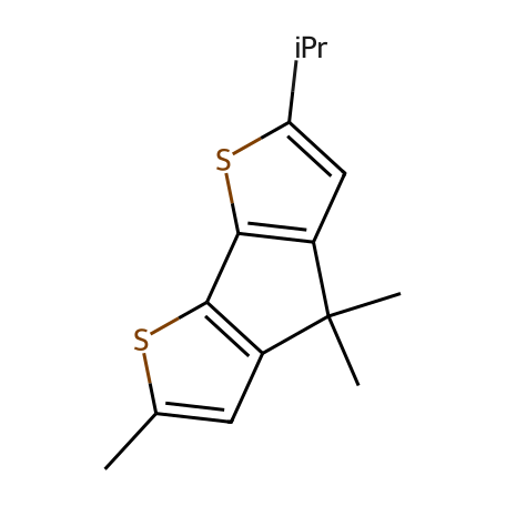 Cc1cc2c(s1)-c1sc(C(C)C)cc1C2(C)C